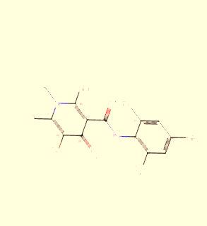 CCCc1cc(CC)c(NC(=O)c2c(CCC)n(C)c(C)c(Br)c2=O)c(CC)c1